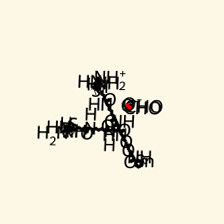 O=C[O-].O=C[O-].[CH3][Sn]([CH3])([CH3])[c]1cccc(C(=O)NCCOCCOCCNC(=O)c2cc(NC(=O)CCCCCNC(=O)CCCC[C@@H]3SC[C@@H]4NC(=[NH2+])N[C@@H]43)cc(NC(=O)CCCCCNC(=O)CCCC[C@@H]3SC[C@@H]4NC(=[NH2+])N[C@@H]43)c2)c1